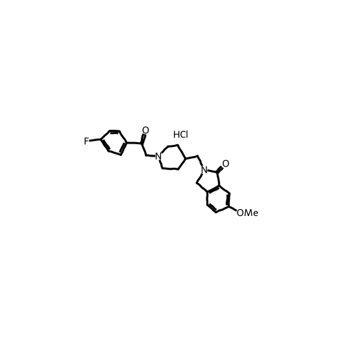 COc1ccc2c(c1)C(=O)N(CC1CCN(CC(=O)c3ccc(F)cc3)CC1)C2.Cl